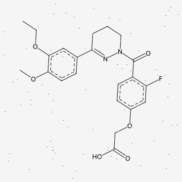 CCOc1cc(C2=NN(C(=O)c3ccc(OCC(=O)O)cc3F)CCC2)ccc1OC